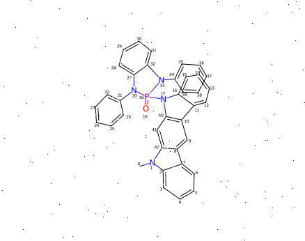 Cn1c2ccccc2c2cc3c4ccccc4n(P4(=O)N(c5ccccc5)c5ccccc5N4c4ccccc4)c3cc21